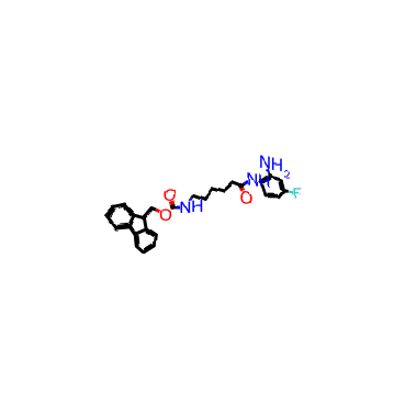 Nc1cc(F)ccc1NC(=O)CCCCCNC(=O)OCC1c2ccccc2-c2ccccc21